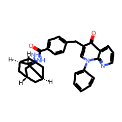 N[C@]12C[C@@H]3C[C@H](C1)[C@@H](NC(=O)c1ccc(Cc4cn(-c5ccccc5)c5ncccc5c4=O)cc1)[C@@H](C3)C2